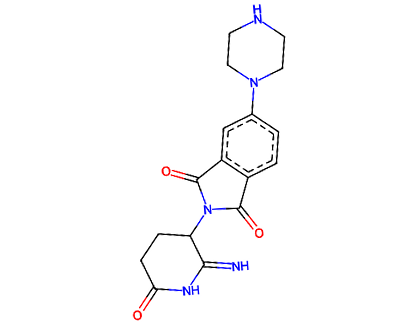 N=C1NC(=O)CCC1N1C(=O)c2ccc(N3CCNCC3)cc2C1=O